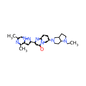 CCN1CCC2CN(c3ccc4nc(-c5cc6c(C)nc(C)cn6n5)cc(=O)n4c3)CCC21